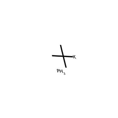 C[C](C)(C)[K].P